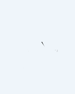 O=C[C@H]1CCN[C@@H]1c1ccccc1S(=O)(=O)C1CC1